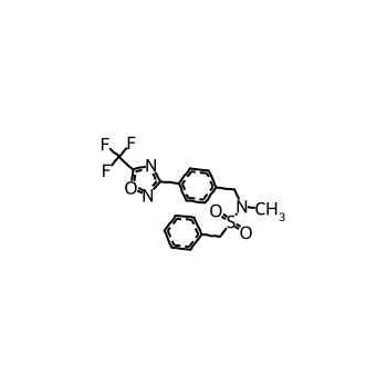 CN(Cc1ccc(-c2noc(C(F)(F)F)n2)cc1)S(=O)(=O)Cc1ccccc1